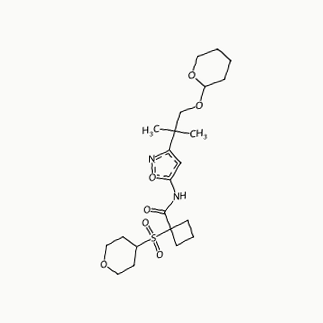 CC(C)(COC1CCCCO1)c1cc(NC(=O)C2(S(=O)(=O)C3CCOCC3)CCC2)on1